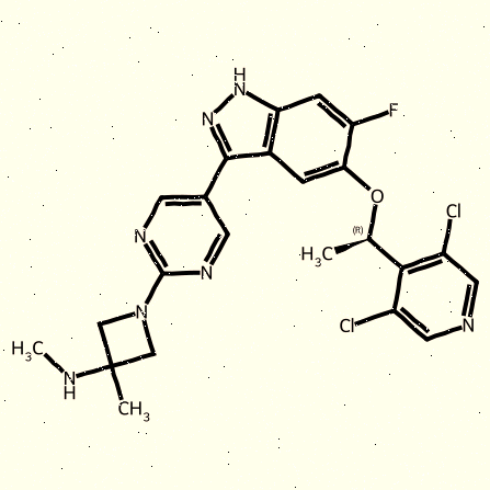 CNC1(C)CN(c2ncc(-c3n[nH]c4cc(F)c(O[C@H](C)c5c(Cl)cncc5Cl)cc34)cn2)C1